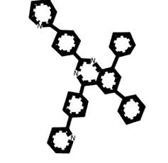 c1ccc(-c2cc(-c3ccccc3)c3nc(-c4ccc(-c5ccccn5)cc4)nc(-c4ccc(-c5ccccn5)cc4)c3c2)cc1